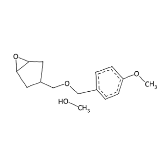 CO.COc1ccc(COCC2CC3OC3C2)cc1